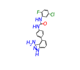 Nc1n[nH]c2cccc(-c3ccc(NC(=O)Nc4cc(Cl)ccc4F)cc3)c12